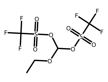 CCOC(OS(=O)(=O)C(F)(F)F)OS(=O)(=O)C(F)(F)F